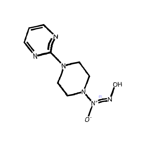 [O-]/[N+](=N/O)N1CCN(c2ncccn2)CC1